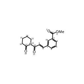 COC(=O)c1cccc(C=CC(=O)N2CCCCC2=O)c1